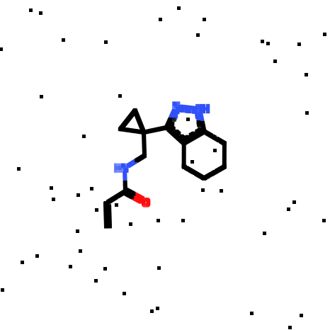 C=CC(=O)NCC1(c2n[nH]c3c2CCCC3)CC1